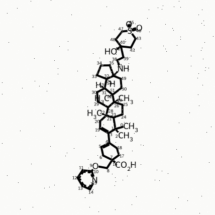 CC1(C)C(C2=CCC(COc3ccccn3)(C(=O)O)CC2)=CC[C@@]2(C)C1CC[C@]1(C)C2CC[C@@H]2[C@H]3CCC[C@]3(NCCC3(O)CCS(=O)(=O)CC3)CC[C@]21C